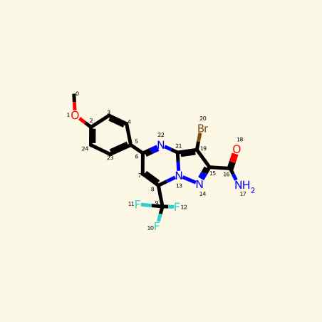 COc1ccc(-c2cc(C(F)(F)F)n3nc(C(N)=O)c(Br)c3n2)cc1